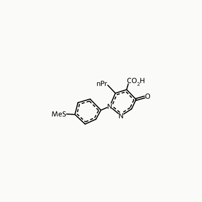 CCCc1c(C(=O)O)c(=O)cnn1-c1ccc(SC)cc1